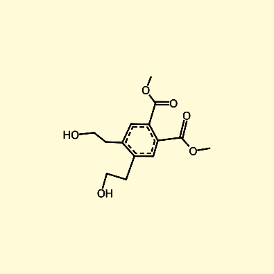 COC(=O)c1cc(CCO)c(CCO)cc1C(=O)OC